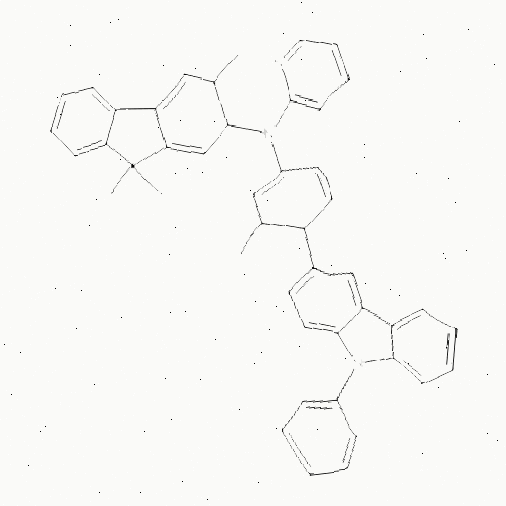 CC1C=C(N(c2ccccn2)C2C=C3C(=CC2C)c2ccccc2C3(C)C)C=CC1c1ccc2c(c1)c1ccccc1n2-c1ccccc1